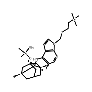 CC(C)(C)[Si](C)(C)O[C@]12CC3C[C@H](C1)[C@H](Nc1c(C=O)cnc4c1ccn4COCC[Si](C)(C)C)[C@@H](C3)C2